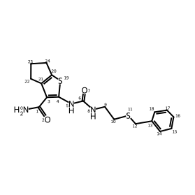 NC(=O)c1c(NC(=O)NCCSCc2ccccc2)sc2c1CCC2